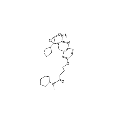 CN(C(=O)CCCOc1ccc2c(c1)CN(C1(C3CCCC3)OC1=O)C(N)=N2)C1CCCCC1